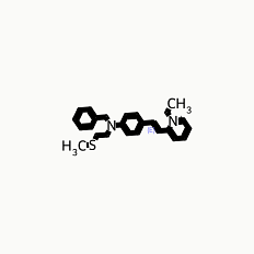 CC[n+]1ccccc1/C=C/c1ccc(N(CCSC)Cc2ccccc2)cc1